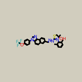 Cc1cccc(C)c1N1/C(=N/N=C/c2ccc3c(ccc4c3ncn4-c3ccc(OC(F)(F)F)cc3)c2)SCC1(C)O